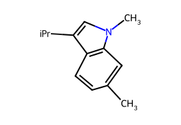 Cc1ccc2c(C(C)C)cn(C)c2c1